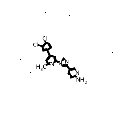 Cc1cc(-c2ccc(Cl)c(Cl)c2)cc(-n2cnc(-c3ccc(N)nc3)c2)n1